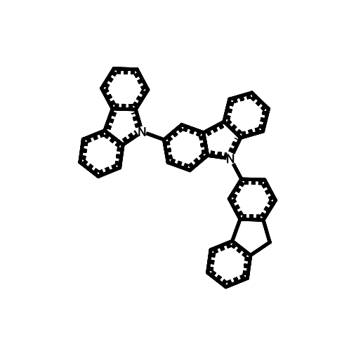 c1ccc2c(c1)Cc1ccc(-n3c4ccccc4c4cc(-n5c6ccccc6c6ccccc65)ccc43)cc1-2